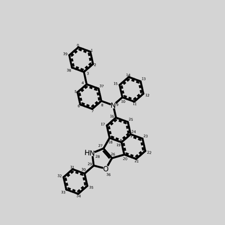 c1ccc(-c2cccc(N(c3ccccc3)c3cc4c5c(cccc5c3)C3=C4NC(c4ccccc4)O3)c2)cc1